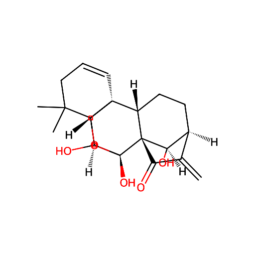 C=C1C(=O)[C@]23[C@H](O)[C@H]1CC[C@H]2[C@]12C=CCC(C)(C)[C@H]1[C@H](O)[C@]3(O)OC2